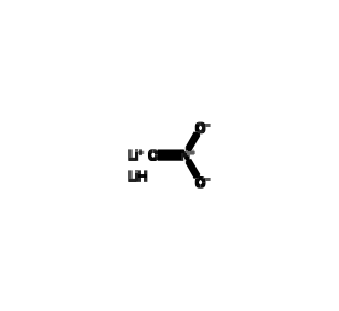 O=[N+]([O-])[O-].[Li+].[LiH]